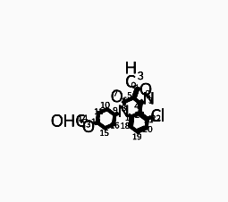 Cc1onc2c1c(=O)n(C1CCC(OC=O)CC1)c1cccc(Cl)c21